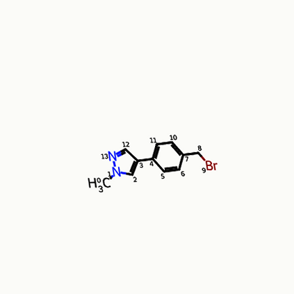 Cn1cc(-c2ccc(CBr)cc2)cn1